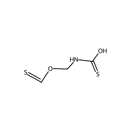 OC(=S)NCOC=S